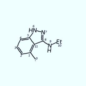 [CH2]c1cccc2[nH]nc(NCC)c12